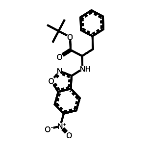 CC(C)(C)OC(=O)C(Cc1ccccc1)Nc1noc2cc([N+](=O)[O-])ccc12